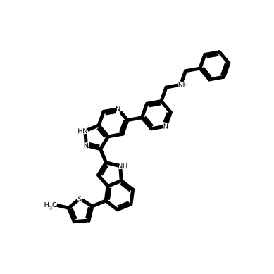 Cc1ccc(-c2cccc3[nH]c(-c4n[nH]c5cnc(-c6cncc(CNCc7ccccc7)c6)cc45)cc23)s1